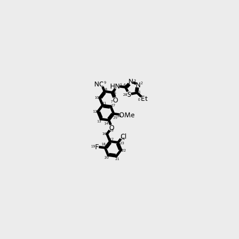 CCc1nnc(NC(=O)C(C#N)=Cc2ccc(OCc3c(F)cccc3Cl)c(OC)c2)s1